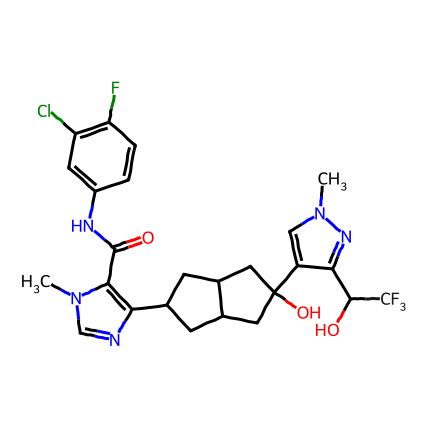 Cn1cc(C2(O)CC3CC(c4ncn(C)c4C(=O)Nc4ccc(F)c(Cl)c4)CC3C2)c(C(O)C(F)(F)F)n1